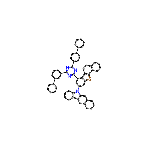 c1ccc(-c2ccc(-c3nc(-c4cccc(-c5ccccc5)c4)nc(-c4cc(-n5c6ccccc6c6cc7ccccc7cc65)cc5sc6c7ccccc7ccc6c45)n3)cc2)cc1